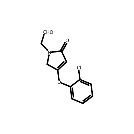 O=CCN1CC(Oc2ccccc2Cl)=CC1=O